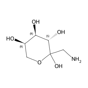 NCC1(O)OC[C@@H](O)[C@@H](O)[C@@H]1O